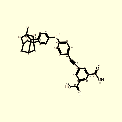 CC12CC3CC(C1)C(c1ccc(Oc4ccc(C#Cc5cc(C(=O)O)cc(C(=O)O)c5)cc4)cc1)C(C)(C3)C2